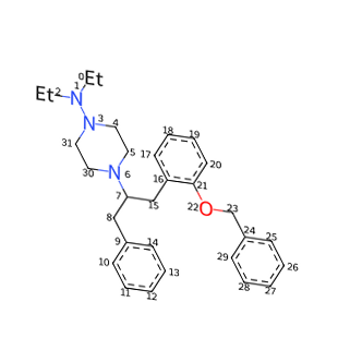 CCN(CC)N1CCN(C(Cc2ccccc2)Cc2ccccc2OCc2ccccc2)CC1